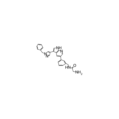 NCC(=O)NCc1cccc(-c2cnc3[nH]cc(-c4cnn(Cc5ccccc5)c4)c3c2)c1